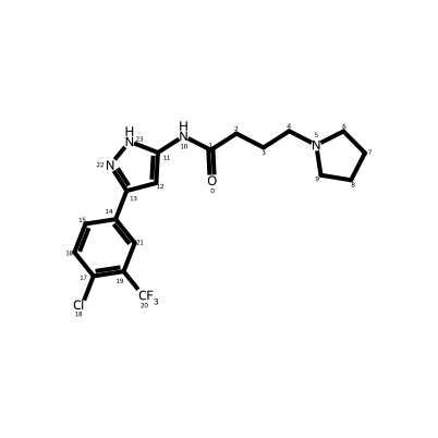 O=C(CCCN1CCCC1)Nc1cc(-c2ccc(Cl)c(C(F)(F)F)c2)n[nH]1